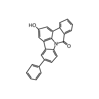 O=c1c2ccccc2c2cc(O)cc3c4cc(-c5ccccc5)ccc4n1c23